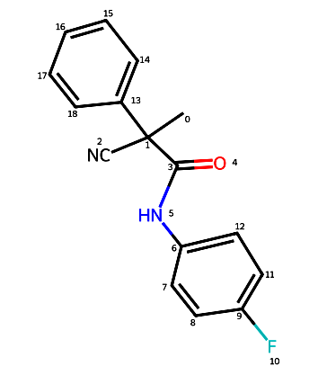 CC(C#N)(C(=O)Nc1ccc(F)cc1)c1ccccc1